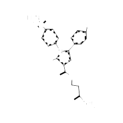 Cc1c(C(=O)OCCC(N)=O)cc(-c2ccc(Cl)cc2)n1-c1ccc(S(N)(=O)=O)cc1